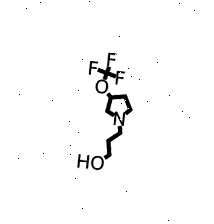 OCCCN1CCC(OC(F)(F)F)C1